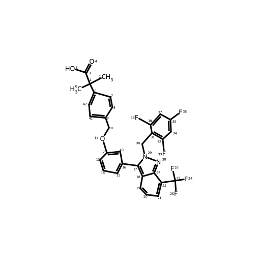 CC(C)(C(=O)O)c1ccc(COc2cccc(-c3c4cccc(C(F)(F)F)c4nn3Cc3c(F)cc(F)cc3F)c2)cc1